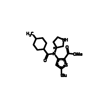 COC(=O)c1sc(C(C)(C)C)cc1N(C(=O)C1CCC(C)CC1)[C@H]1CCNC1